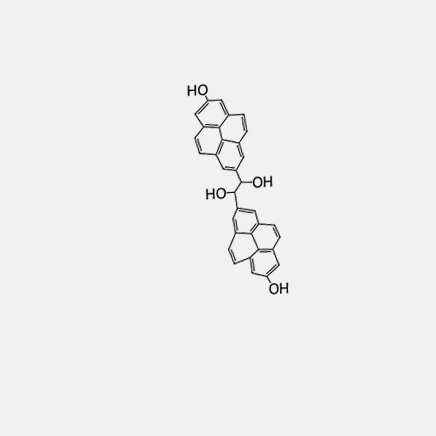 Oc1cc2ccc3cc(C(O)C(O)c4cc5ccc6cc(O)cc7ccc(c4)c5c67)cc4ccc(c1)c2c34